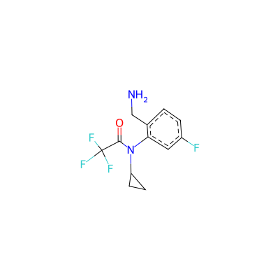 NCc1ccc(F)cc1N(C(=O)C(F)(F)F)C1CC1